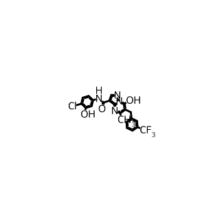 Cc1nc2c(C(=O)Nc3ccc(Cl)c(O)c3)cnn2c(O)c1Cc1cccc(C(F)(F)F)c1